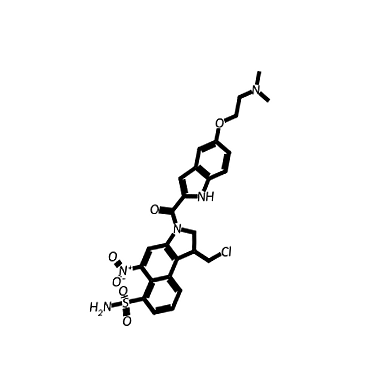 CN(C)CCOc1ccc2[nH]c(C(=O)N3CC(CCl)c4c3cc([N+](=O)[O-])c3c(S(N)(=O)=O)cccc43)cc2c1